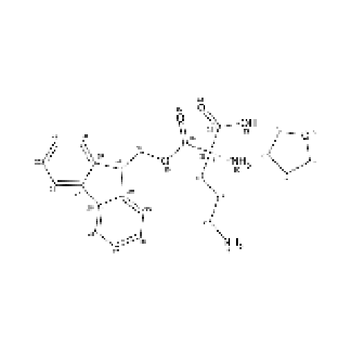 C1CCOC1.NCCC[C@](N)(C(=O)O)C(=O)OCC1c2ccccc2-c2ccccc21